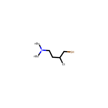 CCCCN(CCCC)CCC(CC)CS